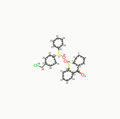 O=c1c2ccccc2[s+]([O-])c2ccccc12.[O-][S+](c1ccccc1)c1ccc(CCl)cc1